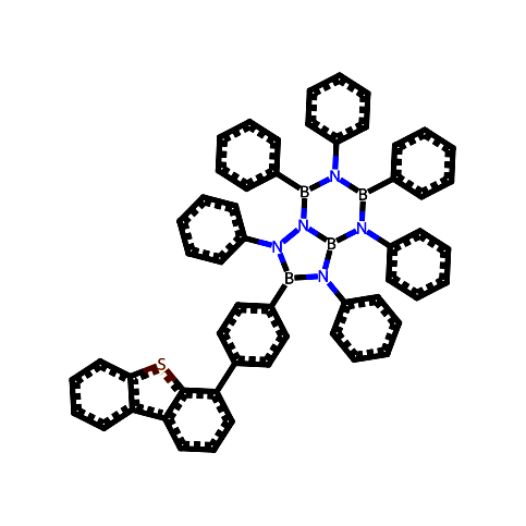 c1ccc(B2N(c3ccccc3)B(c3ccccc3)N3B(N2c2ccccc2)N(c2ccccc2)B(c2ccc(-c4cccc5c4sc4ccccc45)cc2)N3c2ccccc2)cc1